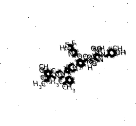 COc1ccc(CN2C[C@@H](c3ccccc3C(C)C)N(C3CC4(CCN(c5ccc(C(=O)NS(=O)(=O)c6cnc(NCC7CCC(C)(O)CC7)c([N+](=O)[O-])c6)c(Oc6cnc7[nH]cc(F)c7c6)c5)CC4)C3)C[C@H]2C)c2cc(C)oc12